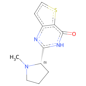 CN1CCC[C@H]1c1nc2ccsc2c(=O)[nH]1